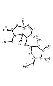 OC[C@@H]1[C@H]2[C@H](O[C@@H]3O[C@H](CO)[C@@H](O)[C@H](O)[C@H]3O)OC=C[C@H]2C[C@@H]1O